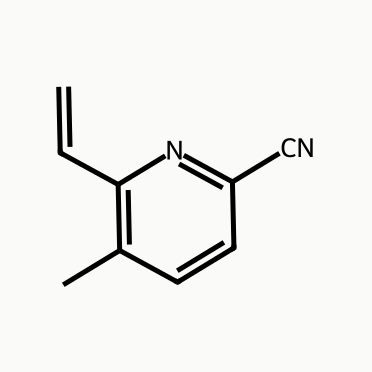 C=Cc1nc(C#N)ccc1C